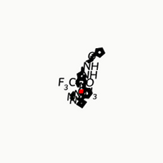 Cn1cnnc1C1(c2cccc(-n3cc(C(F)(F)F)c4cc(CNCCOC5CCCC5)[nH]c4c3=O)c2)CCC1